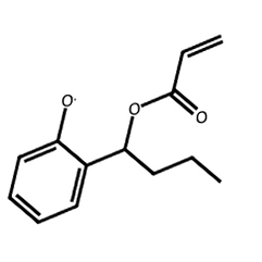 C=CC(=O)OC(CCC)c1ccccc1[O]